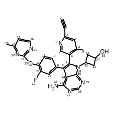 C#Cc1cc(C)c(-c2c(-c3ccc(Oc4nccc(C)n4)c(F)c3)c3c(N)ncnc3n2C2CC(O)C2)cn1